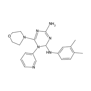 Cc1ccc(NC2N=C(N)N=C(N3CCOCC3)N2c2cccnc2)cc1C